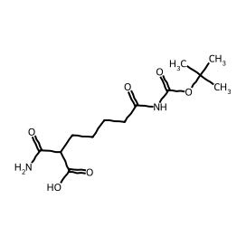 CC(C)(C)OC(=O)NC(=O)CCCCC(C(N)=O)C(=O)O